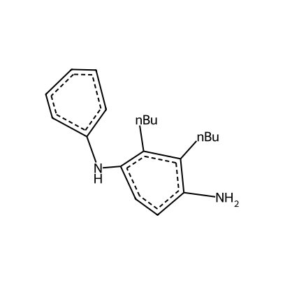 CCCCc1c(N)ccc(Nc2ccccc2)c1CCCC